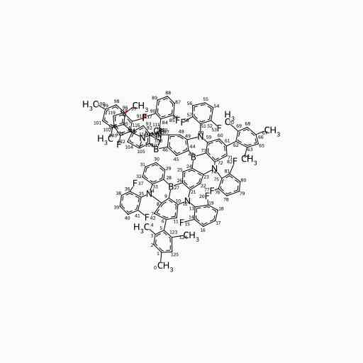 Cc1cc(C)c(-c2cc3c4c(c2)N(c2c(F)cccc2F)c2cc5c(cc2B4c2ccccc2N3c2c(F)cccc2F)B2c3cc4c(cc3N(c3c(F)cccc3F)c3cc(-c6c(C)cc(C)cc6C)cc(c32)N5c2c(F)cccc2F)N(c2c(F)cccc2F)c2cc(-c3c(C)cc(C)cc3C)cc3c2B4c2ccccc2N3c2c(F)cccc2F)c(C)c1